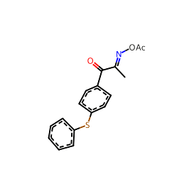 CC(=O)O/N=C(\C)C(=O)c1ccc(Sc2ccccc2)cc1